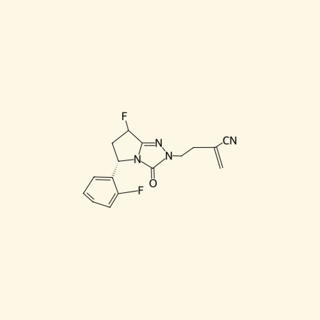 C=C(C#N)CCn1nc2n(c1=O)[C@H](c1ccccc1F)CC2F